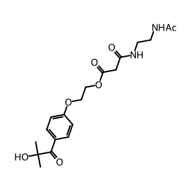 CC(=O)NCCNC(=O)CC(=O)OCCOc1ccc(C(=O)C(C)(C)O)cc1